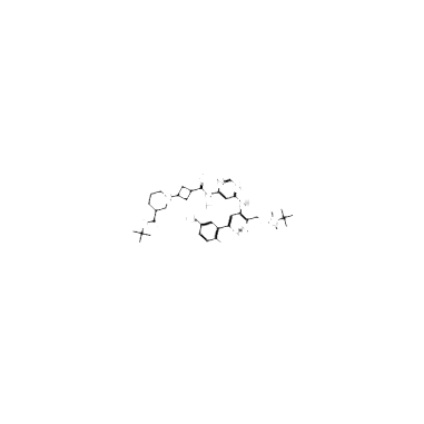 CC(C)(C)OC(=O)C1CCCN(C2CC(C(=O)Nc3cc(Nc4cc(-c5cc(Cl)ccc5F)nnc4CO[Si](C)(C)C(C)(C)C)ncn3)C2)C1